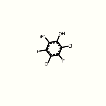 CC(C)c1c(O)c(Cl)c(F)c(Cl)c1F